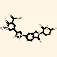 COC(=O)c1cc(-c2cn(-c3ccc4c(c3)CN(C3CCC(=O)NC3=O)C4=O)nn2)cn(C)c1=O